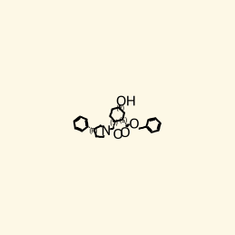 O=C(OCc1ccccc1)[C@H]1C[C@H](O)CC[C@@H]1C(=O)N1CC[C@H](c2ccccc2)C1